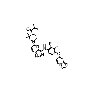 C=C(C)C(=O)N1CCN(c2ccc3ncnc(Nc4ccc(Oc5ccn6ncnc6c5)c(C)c4F)c3n2)CC1(C)C